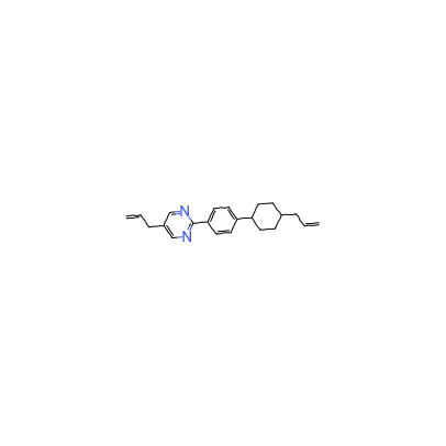 C=CCc1cnc(-c2ccc(C3CCC(CC=C)CC3)cc2)nc1